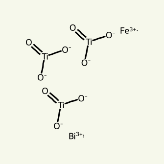 [Bi+3].[Fe+3].[O]=[Ti]([O-])[O-].[O]=[Ti]([O-])[O-].[O]=[Ti]([O-])[O-]